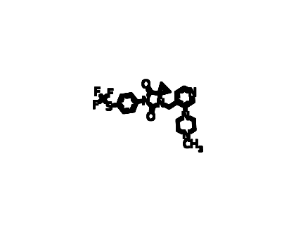 CN1CCN(c2cnccc2CN2C(=O)N(c3ccc(SC(F)(F)F)cc3)C(=O)C23CC3)CC1